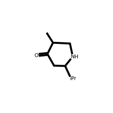 CC1CNC(C(C)C)CC1=O